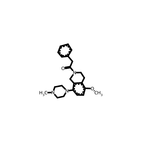 COc1ccc(N2CCN(C)CC2)c2c1CCN(C(=O)Cc1ccccc1)C2